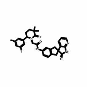 Cc1cc(I)cc(C2CCC(C)(C)C(=O)N2CC(=O)Nc2ccc3c(c2)CC2(C3)C(=O)Nc3ncccc32)c1